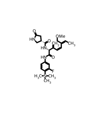 C=C(/C=C\C(=C/C)COC)[C@@H](NC(=O)[C@@H]1CNC(=O)C1)C(=O)Nc1ccc([Si](C)(C)C)c(F)c1